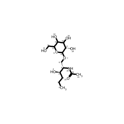 CCC[C@@H](O)[C@H](COC1OC(CO)C(O)C(O)[C@@H]1O)NC(C)=O